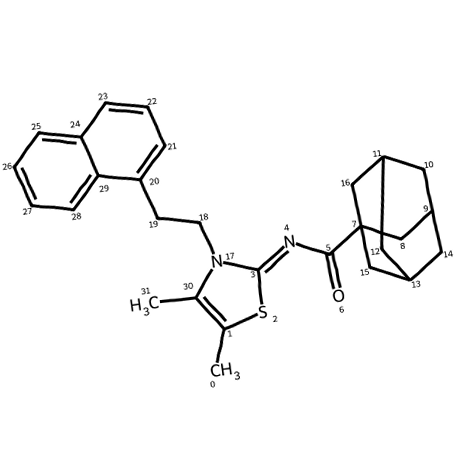 Cc1sc(=NC(=O)C23CC4CC(CC(C4)C2)C3)n(CCc2cccc3ccccc23)c1C